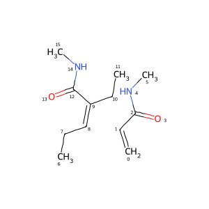 C=CC(=O)NC.CCC=C(CC)C(=O)NC